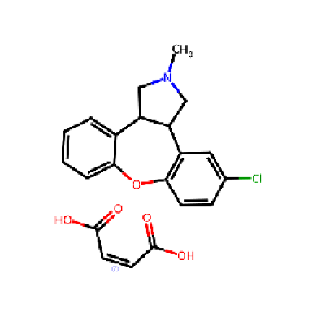 CN1CC2c3ccccc3Oc3ccc(Cl)cc3C2C1.O=C(O)/C=C\C(=O)O